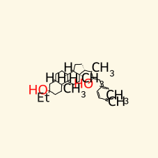 C#C/C=C\C(=C/C)C[C@@H](O)[C@@H](C)[C@H]1CC[C@H]2[C@@H]3CC[C@H]4C[C@](O)(CC)CC[C@]4(C)[C@H]3CC[C@]12C